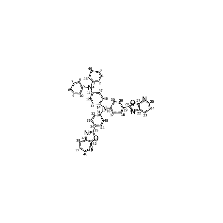 c1ccc(N(c2ccccc2)c2ccc(N(c3ccc(-c4nc5cccnc5o4)cc3)c3ccc(-c4nc5cccnc5o4)cc3)cc2)cc1